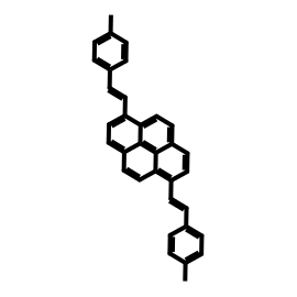 Cc1ccc(C=Cc2ccc3ccc4c(C=Cc5ccc(C)cc5)ccc5ccc2c3c54)cc1